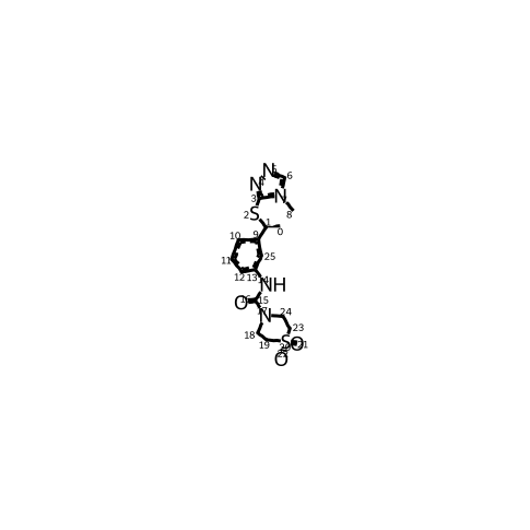 C[C@H](Sc1nncn1C)c1cccc(NC(=O)N2CCS(=O)(=O)CC2)c1